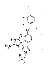 NC1=NC(c2cccc(OCc3ccccc3)c2)(c2cnn(CC(F)(F)F)c2)C(=O)N1